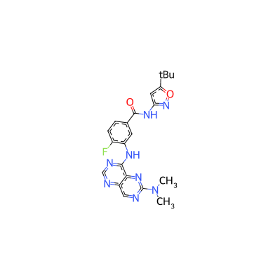 CN(C)c1ncc2ncnc(Nc3cc(C(=O)Nc4cc(C(C)(C)C)on4)ccc3F)c2n1